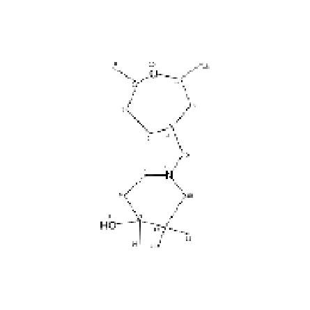 CC1CCN(CN2CCC(C)(O)C(C)(C)C2)CC(C)O1